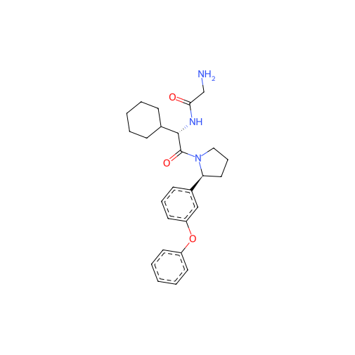 NCC(=O)N[C@H](C(=O)N1CCC[C@H]1c1cccc(Oc2ccccc2)c1)C1CCCCC1